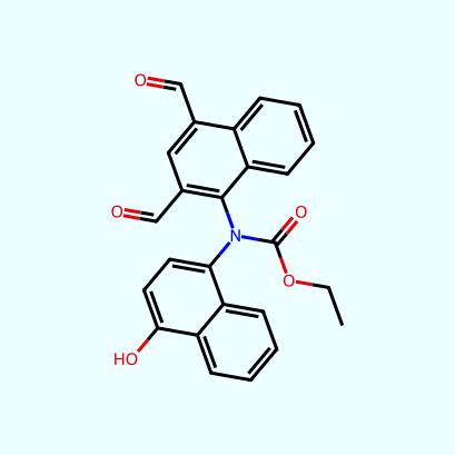 CCOC(=O)N(c1ccc(O)c2ccccc12)c1c(C=O)cc(C=O)c2ccccc12